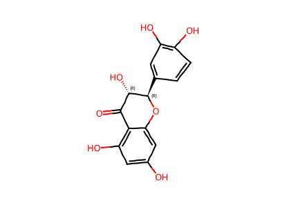 O=C1c2c(O)cc(O)cc2O[C@H](c2ccc(O)c(O)c2)[C@H]1O